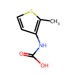 Cc1sccc1NC(=O)O